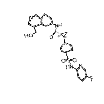 O=C(Nc1ccc2cncc(CO)c2c1)[C@@H]1C[C@H]1c1ccc(S(=O)(=O)Nc2ccc(F)cn2)cc1